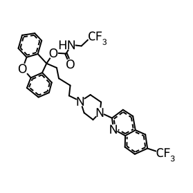 O=C(NCC(F)(F)F)OC1(CCCCN2CCN(c3ccc4cc(C(F)(F)F)ccc4n3)CC2)c2ccccc2Oc2ccccc21